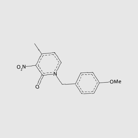 COc1ccc(Cn2ccc(C)c([N+](=O)[O-])c2=O)cc1